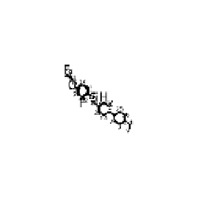 CC[C@H]1CC[C@H]([C@H]2CC[C@H](C[SiH2]c3ccc(OCCF)cc3F)CC2)CC1